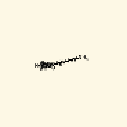 CCCCCCCCCCCCCCCC(=O)OC[C@H](O)CC(F)P(=O)(O)O